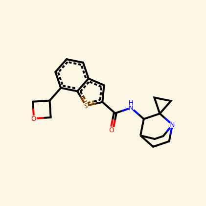 O=C(NC1C2CCN(CC2)C12CC2)c1cc2cccc(C3COC3)c2s1